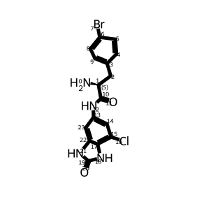 N[C@@H](Cc1ccc(Br)cc1)C(=O)Nc1cc(Cl)c2[nH]c(=O)[nH]c2c1